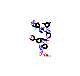 Cc1cc(-n2nc3c(c2-n2ccn(-c4ccc5c(cnn5C)c4F)c2=O)CN(C(=O)c2cc4cc(C5CCOCC5)ccc4n2-c2cccc4c2nnn4C(=O)OC(C)(C)C)CC3)cc(C)c1F